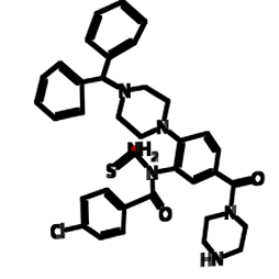 NC(=S)N(C(=O)c1ccc(Cl)cc1)c1cc(C(=O)N2CCNCC2)ccc1N1CCN(C(c2ccccc2)c2ccccc2)CC1